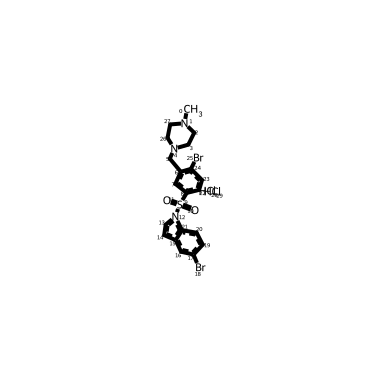 CN1CCN(Cc2cc(S(=O)(=O)n3ccc4cc(Br)ccc43)ccc2Br)CC1.Cl.Cl